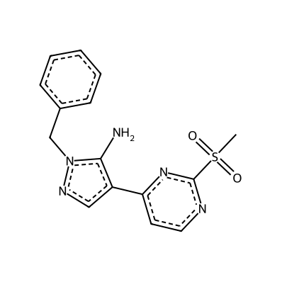 CS(=O)(=O)c1nccc(-c2cnn(Cc3ccccc3)c2N)n1